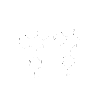 CC(C)c1ccc(-c2n[nH]c(=O)c3ccccc23)cc1.CC(C)c1ccc(-c2nn(N)c(=O)c3ccccc23)cc1